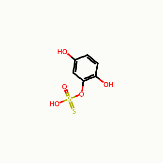 O=S(O)(=S)Oc1cc(O)ccc1O